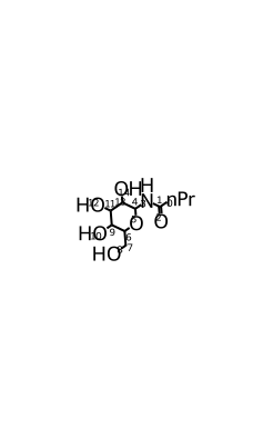 CCCC(=O)NC1OC(CO)C(O)C(O)C1O